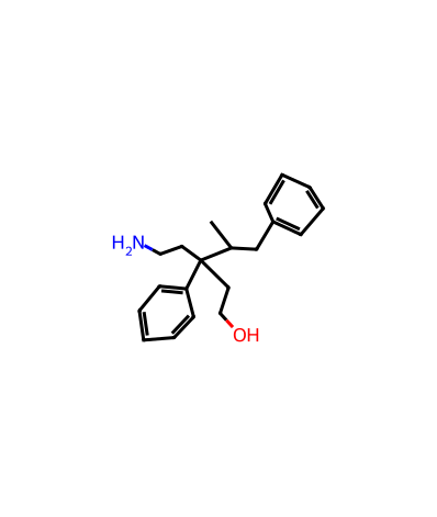 CC(Cc1ccccc1)C(CCN)(CCO)c1ccccc1